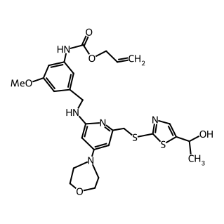 C=CCOC(=O)Nc1cc(CNc2cc(N3CCOCC3)cc(CSc3ncc(C(C)O)s3)n2)cc(OC)c1